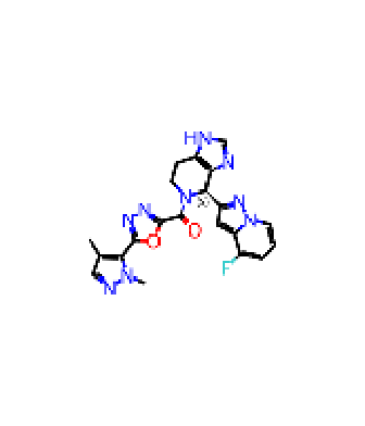 Cc1cnn(C)c1-c1nnc(C(=O)N2CCc3[nH]cnc3[C@H]2c2cc3c(F)cccn3n2)o1